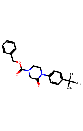 CC(C)(C)c1ccc(N2CCN(C(=O)OCc3ccccc3)CC2=O)cc1